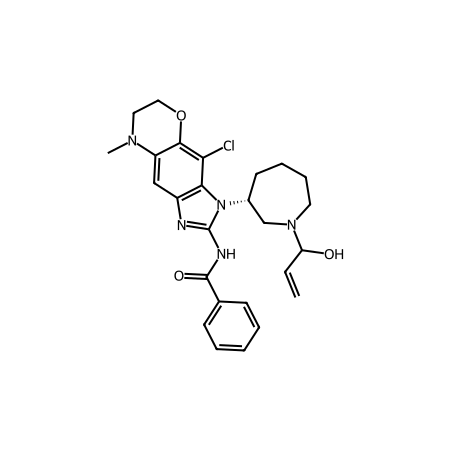 C=CC(O)N1CCCC[C@@H](n2c(NC(=O)c3ccccc3)nc3cc4c(c(Cl)c32)OCCN4C)C1